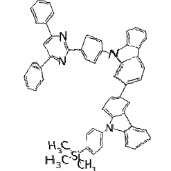 C[Si](C)(C)c1ccc(-n2c3ccccc3c3cc(-c4ccc5c6ccccc6n(-c6ccc(-c7nc(-c8ccccc8)cc(-c8ccccc8)n7)cc6)c5c4)ccc32)cc1